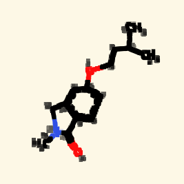 CC(C)CCOc1ccc2c(c1)CN(C)C2=O